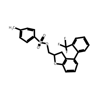 Cc1ccc(S(=O)(=O)OCC2Cc3c(cccc3-c3ccccc3C(F)(F)F)O2)cc1